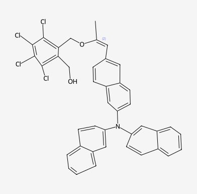 C/C(=C/c1ccc2cc(N(c3ccc4ccccc4c3)c3ccc4ccccc4c3)ccc2c1)OCc1c(Cl)c(Cl)c(Cl)c(Cl)c1CO